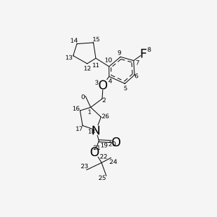 CC1(COc2ccc(F)cc2C2CCCC2)CCN(C(=O)OC(C)(C)C)C1